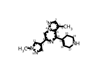 Cc1cnn2cc(-c3cnn(C)c3)nc(C3=CCNCC3)c12